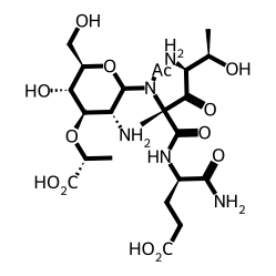 CC(=O)N(C1O[C@H](CO)[C@@H](O)[C@H](O[C@H](C)C(=O)O)[C@H]1N)[C@@](C)(C(=O)N[C@H](CCC(=O)O)C(N)=O)C(=O)[C@@H](N)[C@@H](C)O